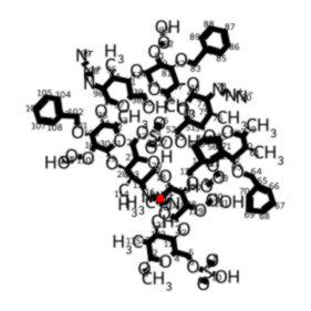 CO[C@H]1OC(COS(=O)(=O)O)[C@@H](O[C@@H]2OC(C)[C@@H](O[C@H]3OC(COS(=O)(=O)O)[C@H](O[C@@H]4OC(C)[C@@H](O[C@H]5OC(CO)[C@@H](O[C@@H]6OC(C)[C@@H](O[C@@H]7OC(CO)[C@H](O[C@@H]8OC(C)[C@@H](C)[C@@H](OCc9ccccc9)C8OOO)[C@H](C)C7N=[N+]=[N-])[C@@H](OCc7ccccc7)C6OOO)[C@H](C)C5N=[N+]=[N-])[C@@H](OCc5ccccc5)C4OOO)[C@H](C)C3N=[N+]=[N-])[C@@H](OCc3ccccc3)C2OOO)[C@H](C)C1C